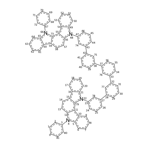 c1ccc(-n2c3ccccc3c3c2ccc2c4ccccc4n(-c4cccc(-c5cccc(-c6cccc(-c7cccc(-c8cccc(-n9c%10ccccc%10c%10c9ccc9c%11ccccc%11n(-c%11ccccc%11)c9%10)c8)c7)c6)c5)c4)c23)cc1